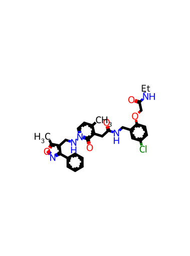 CCNC(=O)COc1ccc(Cl)cc1CNC(=O)Cc1c(C)ccn(NCc2c(-c3ccccc3)noc2C)c1=O